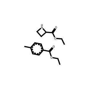 CCOC(=O)C1CCN1.CCOC(=O)c1ccc(C)cc1